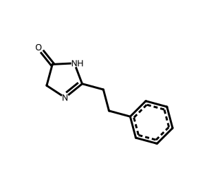 O=C1CN=C(CCc2ccccc2)N1